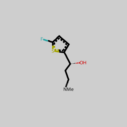 CNCC[C@@H](O)c1ccc(F)s1